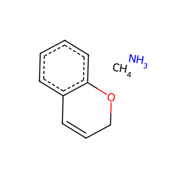 C.C1=Cc2ccccc2OC1.N